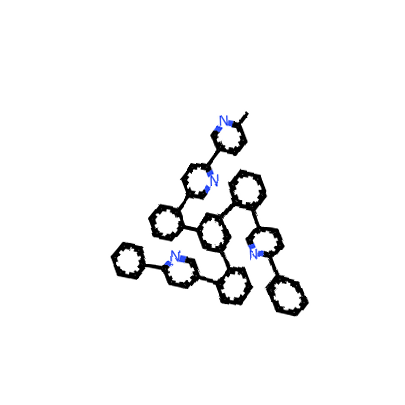 Cc1ccc(-c2ccc(-c3ccccc3-c3cc(-c4ccccc4-c4ccc(-c5ccccc5)nc4)cc(-c4ccccc4-c4ccc(-c5ccccc5)nc4)c3)cn2)cn1